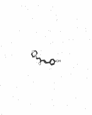 O=C(C=Cc1ccc(O)cc1)CCN1CCOCC1